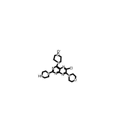 [O-][S+]1CCN(c2nc(N3CCNCC3)nc3nc(N4CCOCC4)c(Cl)nc23)CC1